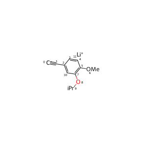 [C-]#Cc1ccc(OC)c(OC(C)C)c1.[Li+]